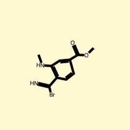 CNc1cc(C(=O)OC)ccc1C(=N)Br